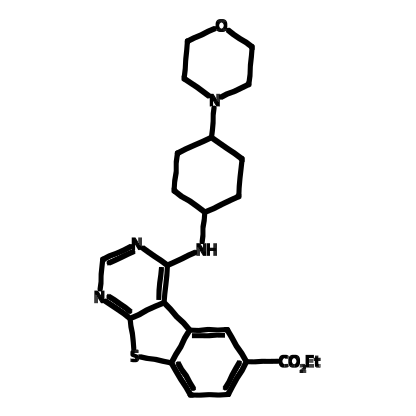 CCOC(=O)c1ccc2sc3ncnc(NC4CCC(N5CCOCC5)CC4)c3c2c1